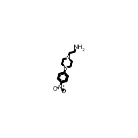 NCCN1CCN(c2ccc([N+](=O)[O-])cc2)CC1